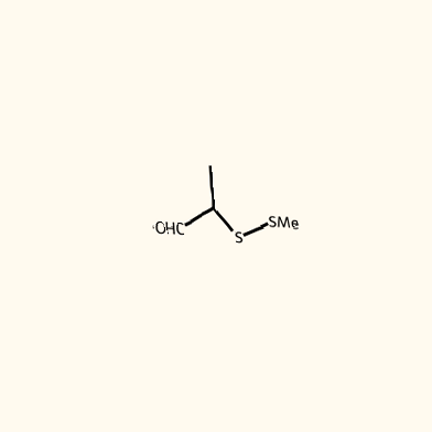 CSSC(C)[C]=O